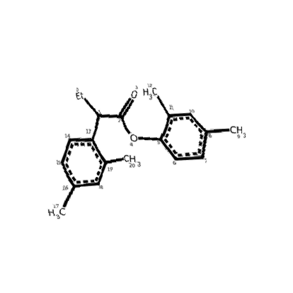 CCC(C(=O)Oc1ccc(C)cc1C)c1ccc(C)cc1C